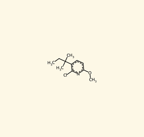 CCC(C)(C)c1ccc(OC)nc1Cl